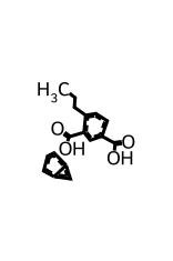 CCCc1ccc(C(=O)O)cc1C(=O)O.c1cc2cc-2c1